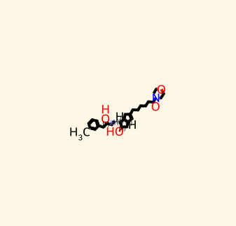 Cc1cccc(C[C@H](O)/C=C/[C@@H]2[C@H]3CC(CCCCCC(=O)N4CCOCC4)=C[C@H]3C[C@H]2O)c1